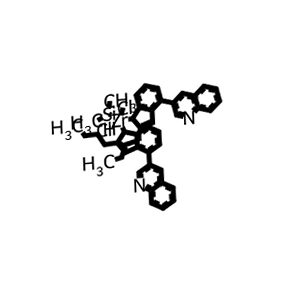 CCCCC1=Cc2c(-c3cnc4ccccc4c3)cccc2[CH]1[Zr]([Cl])([Cl])([CH]1C(CCCC)=Cc2c(-c3cnc4ccccc4c3)cccc21)[SiH](C)C